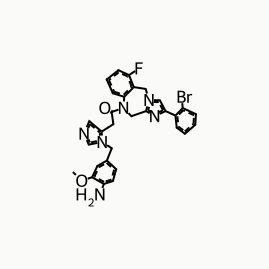 COc1cc(Cn2cncc2CC(=O)N2Cc3nc(-c4ccccc4Br)cn3Cc3c(F)cccc32)ccc1N